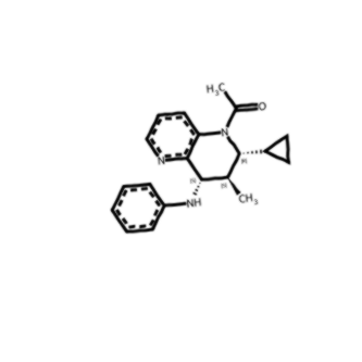 CC(=O)N1c2cccnc2[C@@H](Nc2ccccc2)[C@H](C)[C@H]1C1CC1